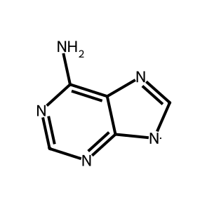 Nc1ncnc2c1N=C[N]2